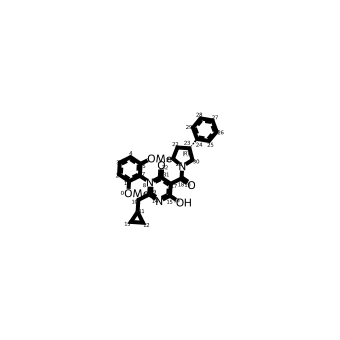 COc1cccc(OC)c1-n1c(CC2CC2)nc(O)c(C(=O)N2CC[C@H](c3ccccc3)C2)c1=O